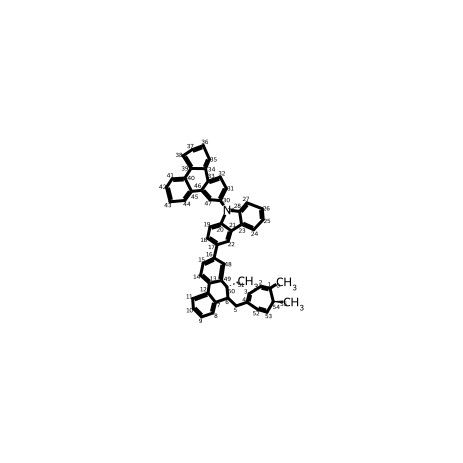 CC1=CC=C(CC2c3ccccc3-c3ccc(-c4ccc5c(c4)c4ccccc4n5-c4ccc5c6ccccc6c6ccccc6c5c4)cc3[C@@H]2C)C=C[C@@H]1C